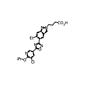 CCc1cc2nn(CCCC(=O)O)cc2cc1-c1noc(-c2cnc(OC(C)C)c(Cl)c2)n1